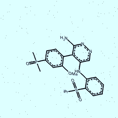 COc1cc(P(C)(C)=O)ccc1-c1c(Nc2ccccc2S(=O)(=O)C(C)C)cnnc1N